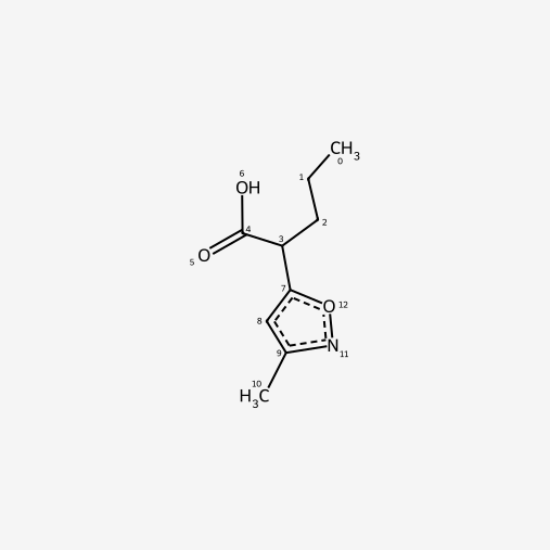 CCCC(C(=O)O)c1cc(C)no1